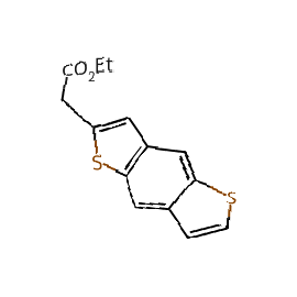 CCOC(=O)Cc1cc2cc3sccc3cc2s1